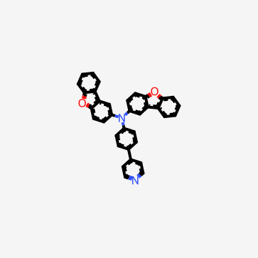 c1ccc2c(c1)oc1ccc(N(c3ccc(-c4ccncc4)cc3)c3ccc4oc5ccccc5c4c3)cc12